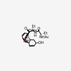 CC[C@H](NC(C)=O)C(=O)N[C@@H](CC)C(=O)N1CC[C@@]23C=C[C@H](O)C[C@@H]2Oc2c(OC)ccc(c23)C1